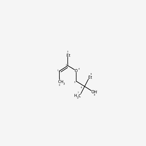 CC=C(CC)OCC(C)(O)CC